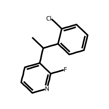 C[C](c1ccccc1Cl)c1cccnc1F